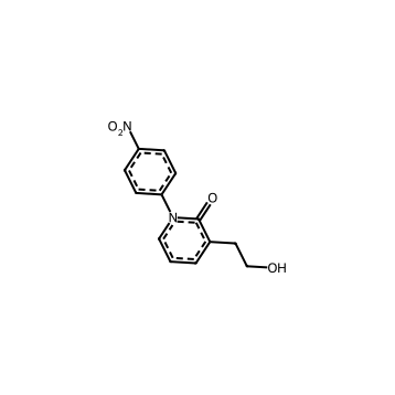 O=c1c(CCO)cccn1-c1ccc([N+](=O)[O-])cc1